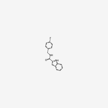 O=C(NCc1ccc(F)cc1)c1cc2ccccc2[nH]1